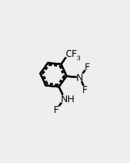 FNc1cccc(C(F)(F)F)c1N(F)F